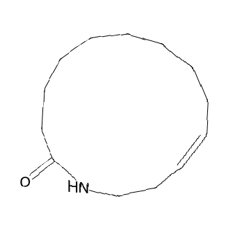 O=C1CCCCCCCC/C=C\CCN1